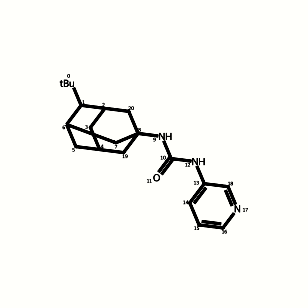 CC(C)(C)C1C2CC3CC1CC(NC(=O)Nc1cccnc1)(C3)C2